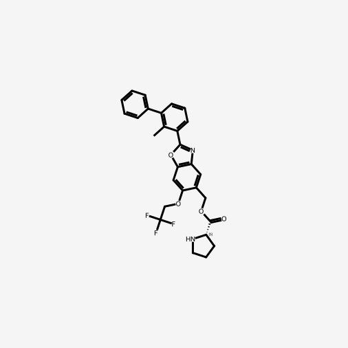 Cc1c(-c2ccccc2)cccc1-c1nc2cc(COC(=O)[C@@H]3CCCN3)c(OCC(F)(F)F)cc2o1